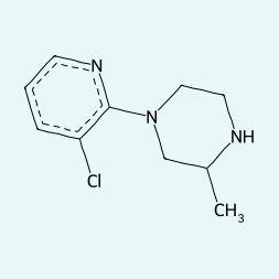 CC1CN(c2ncccc2Cl)CCN1